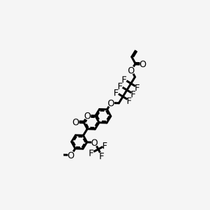 C=CC(=O)OCC(F)(F)C(F)(F)C(F)(F)COc1ccc2cc(-c3ccc(OC)cc3OC(F)(F)F)c(=O)oc2c1